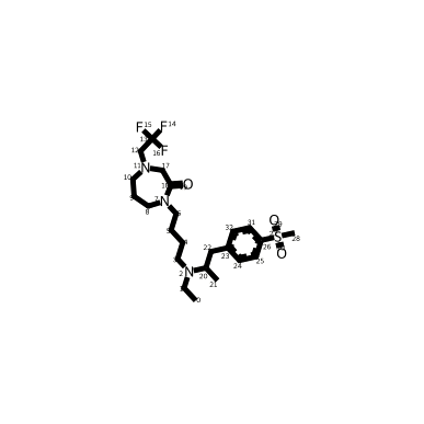 CCN(CCCCN1CCCN(CC(F)(F)F)CC1=O)C(C)Cc1ccc(S(C)(=O)=O)cc1